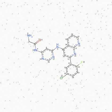 NCC(=O)Nc1cc(Nc2cc(-c3cc(Cl)ccc3F)nc3ncccc23)ncn1